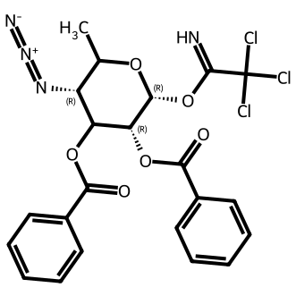 CC1O[C@H](OC(=N)C(Cl)(Cl)Cl)[C@H](OC(=O)c2ccccc2)C(OC(=O)c2ccccc2)[C@@H]1N=[N+]=[N-]